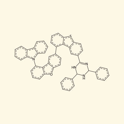 c1ccc(C2N=C(c3ccc4sc5cccc(-c6ccc7oc8cccc(-n9c%10ccccc%10c%10ccccc%109)c8c7c6)c5c4c3)NC(c3ccccc3)N2)cc1